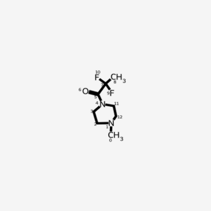 CN1CCN(C(=O)C(C)(F)F)CC1